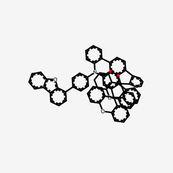 C1=CC2=C(CC1)Oc1ccccc1C21c2ccccc2-c2ccc(-c3ccccc3N(c3ccc(-c4cccc5c4oc4ccccc45)cc3)c3ccc4c(c3)C3(c5ccccc5Oc5ccccc53)c3ccccc3-4)cc21